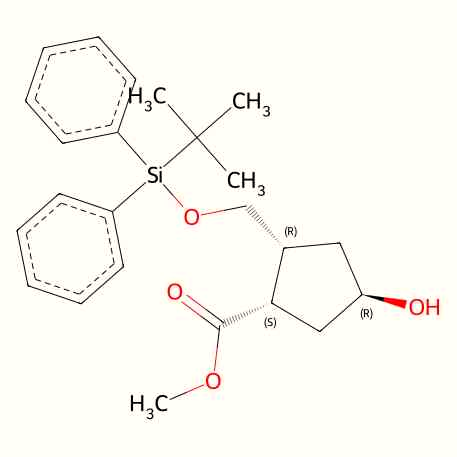 COC(=O)[C@H]1C[C@H](O)C[C@H]1CO[Si](c1ccccc1)(c1ccccc1)C(C)(C)C